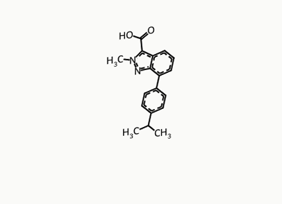 CC(C)c1ccc(-c2cccc3c(C(=O)O)n(C)nc23)cc1